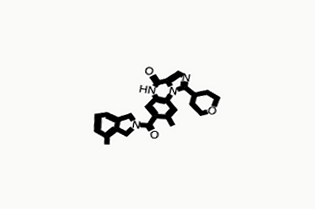 Cc1cc2c(cc1C(=O)N1Cc3cccc(C)c3C1)[nH]c(=O)c1cnc(C3CCOCC3)n12